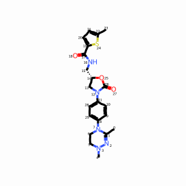 CC1=NN(C)CCN1c1ccc(N2C[C@H](CNC(=O)c3ccc(C)s3)OC2=O)cc1